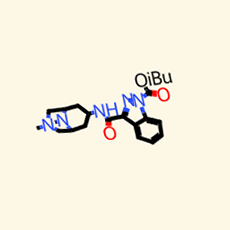 CC(C)COC(=O)n1nc(C(=O)NC2CC3CN(C)CC(C2)N3C)c2ccccc21